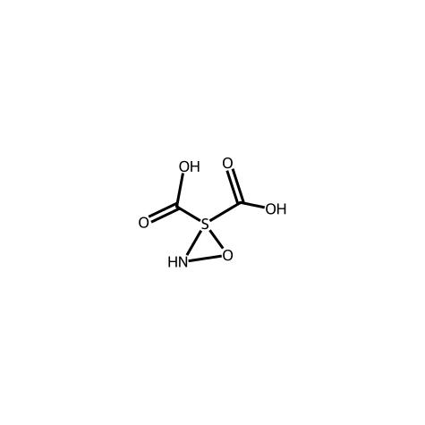 O=C(O)S1(C(=O)O)NO1